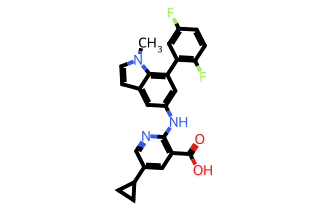 Cn1ccc2cc(Nc3ncc(C4CC4)cc3C(=O)O)cc(-c3cc(F)ccc3F)c21